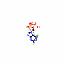 O=P(O)(O)C(Cn1cnc2nc(Cl)nc(Cl)c21)P(=O)(O)O